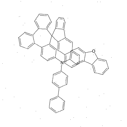 c1ccc(-c2ccc(N(c3ccc4c(c3)C3(c5ccccc5-c5ccccc5-4)c4ccccc4-c4cc5ccccc5cc43)c3ccc4oc5ccccc5c4c3)cc2)cc1